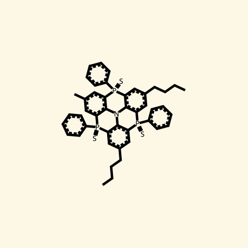 CCCCc1cc2c3c(c1)P(=S)(c1ccccc1)c1cc(CCCC)cc4c1N3c1c(cc(C)cc1P4(=S)c1ccccc1)P2(=S)c1ccccc1